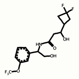 O=C(CC(O)C1CC(F)(F)C1)NC(CO)c1cccc(OC(F)(F)F)c1